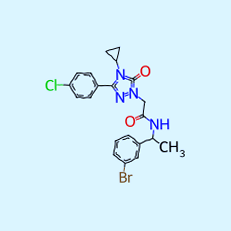 CC(NC(=O)Cn1nc(-c2ccc(Cl)cc2)n(C2CC2)c1=O)c1cccc(Br)c1